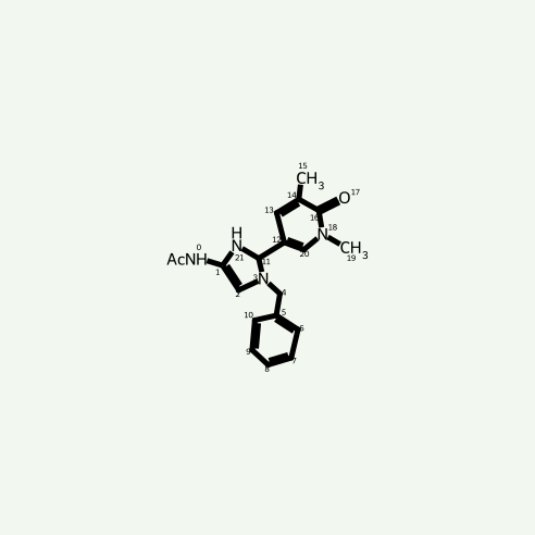 CC(=O)NC1=CN(Cc2ccccc2)C(c2cc(C)c(=O)n(C)c2)N1